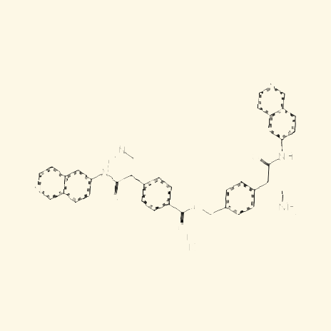 Cl.Cl.NC[C@@H](C(=O)Nc1ccc2cnccc2c1)c1ccc(COC(=O)c2ccc([C@@H](CN)C(=O)Nc3ccc4cnccc4c3)cc2)cc1